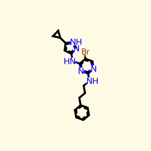 Brc1cnc(NCCCc2ccccc2)nc1Nc1cc(C2CC2)[nH]n1